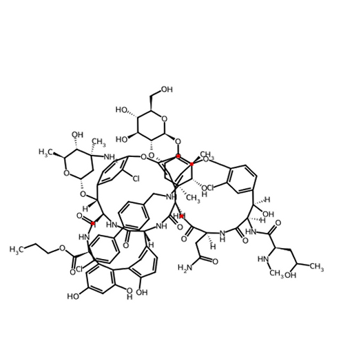 CCCOC(=O)[C@H]1NC(=O)[C@H]2NC(=O)[C@H](NC(=O)[C@@H]3NC(=O)[C@H](CC(N)=O)NC(=O)[C@H](NC(=O)[C@@H](CC(C)O)NC)[C@H](O)c4ccc(c(Cl)c4)Oc4cc3cc(c4O[C@@H]3O[C@H](CO)[C@@H](O)[C@H](O)[C@H]3O[C@H]3C[C@](C)(NCc4ccc(-c5ccc(Cl)cc5)cc4)[C@@H](O)[C@H](C)O3)Oc3ccc(cc3Cl)[C@H]2O[C@H]2C[C@](C)(N)[C@@H](O)[C@H](C)O2)c2ccc(O)c(c2)-c2c(O)cc(O)cc21